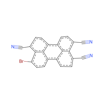 N#Cc1ccc2c3ccc(C#N)c4c(C#N)ccc(c5ccc(Br)c1c52)c43